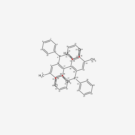 Cc1cc(P(c2ccccc2)c2ccccc2)c(-c2c(P(c3ccccc3)c3ccccc3)cc(C)c(Cl)c2C)c(C)c1Cl